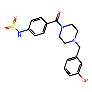 O=C(c1ccc(N[SH](=O)=O)cc1)N1CCN(Cc2cccc(O)c2)CC1